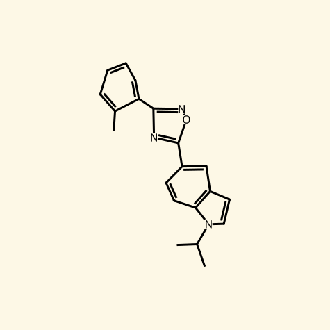 Cc1ccccc1-c1noc(-c2ccc3c(ccn3C(C)C)c2)n1